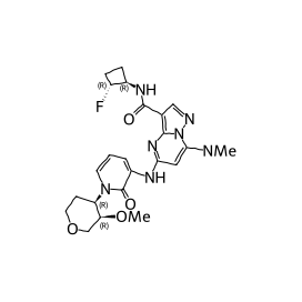 CNc1cc(Nc2cccn([C@@H]3CCOC[C@@H]3OC)c2=O)nc2c(C(=O)N[C@@H]3CC[C@H]3F)cnn12